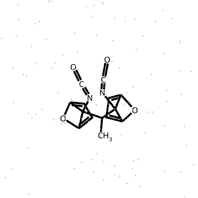 CC(C1(N=C=O)c2ccc1o2)C1(N=C=O)c2ccc1o2